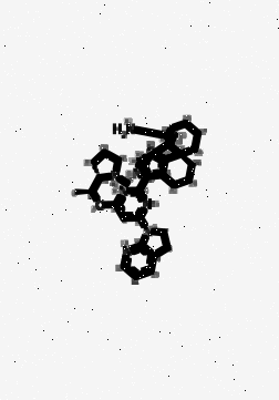 C[C@H](Oc1cc(N2CCc3cccnc32)nc(-c2noc3c2CCC[C@@]32CCCc3sc(N)c(C#N)c32)n1)[C@@H]1CCCN1C